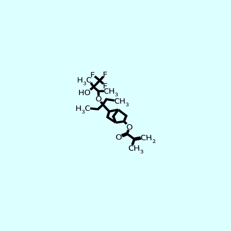 C=C(C)C(=O)OC1CC2CC1CC2C(CC)(CC)OC(C)C(C)(O)C(F)(F)F